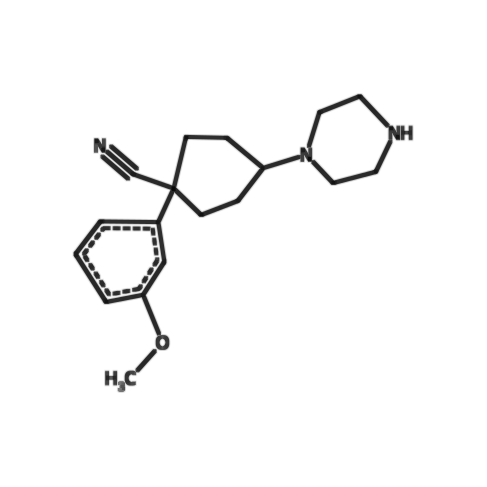 COc1cccc(C2(C#N)CCC(N3CCNCC3)CC2)c1